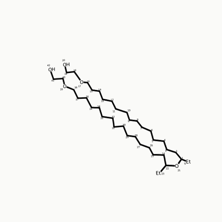 CCC(CCCCCCCCCCCCCCCOCCO)OC(CC)CCCCCCCCCCCCCCCOCCO